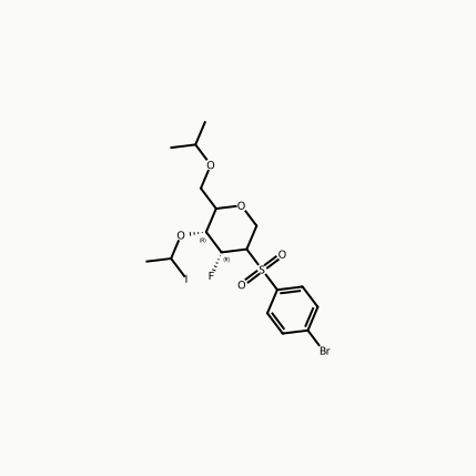 CC(C)OCC1OCC(S(=O)(=O)c2ccc(Br)cc2)[C@H](F)[C@@H]1OC(C)I